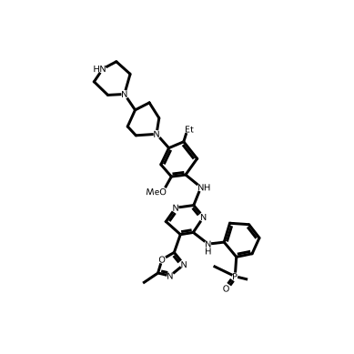 CCc1cc(Nc2ncc(-c3nnc(C)o3)c(Nc3ccccc3P(C)(C)=O)n2)c(OC)cc1N1CCC(N2CCNCC2)CC1